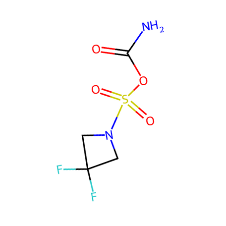 NC(=O)OS(=O)(=O)N1CC(F)(F)C1